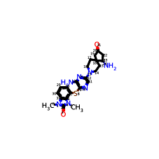 Cn1c(=O)n(C)c2c(Sc3ncc(N4CCC5(CC4)CC(=O)C[C@@H]5N)nc3N)cccc21